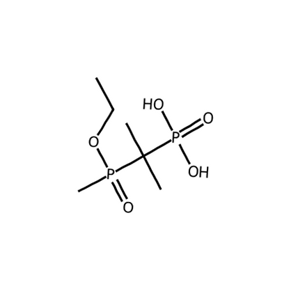 CCOP(C)(=O)C(C)(C)P(=O)(O)O